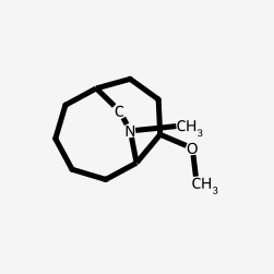 COC1CCC2CCCCC1N(C)C2